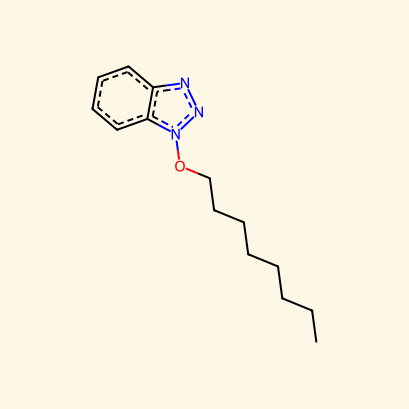 CCCCCCCCOn1nnc2ccccc21